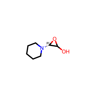 OC1O[C@H]1N1CCCCC1